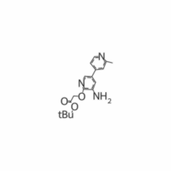 Cc1cc(-c2cnc(OCC(=O)OC(C)(C)C)c(N)c2)ccn1